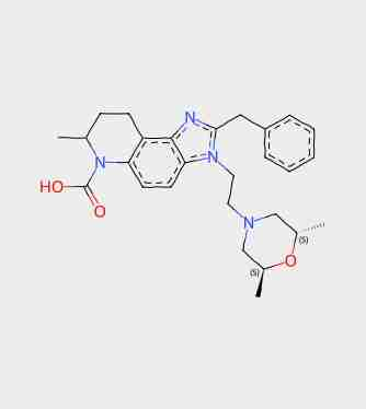 CC1CCc2c(ccc3c2nc(Cc2ccccc2)n3CCN2C[C@H](C)O[C@@H](C)C2)N1C(=O)O